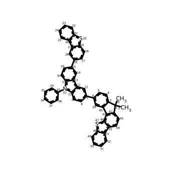 CC1(C)c2ccc(-c3ccc4c(c3)c3cc(-c5ccc6sc7ccccc7c6c5)ccc3n4-c3ccccc3)cc2-c2c1ccc1c2sc2ccccc21